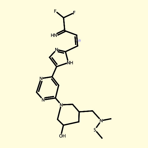 CSN(C)CC1CC(O)CN(c2cc(-c3cnc(/C=C\C(=N)C(F)F)[nH]3)ncn2)C1